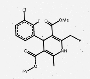 COC(=O)C1=C(CF)NC(C)=C(C(=O)OC(C)C)C1c1cccc(Cl)c1F